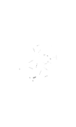 C[C@H](NC(=O)C1(c2ccccc2)CCC1)[C@@H](Cc1ccc(Cl)cc1)c1cccc(C#N)c1